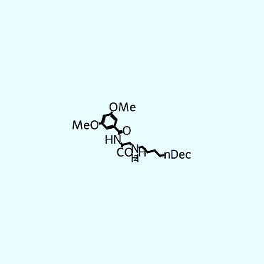 CCCCCCCCCCCCCCNCC(NC(=O)c1cc(OC)cc(OC)c1)C(=O)O